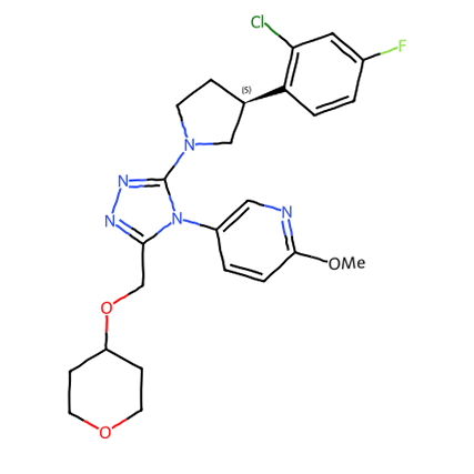 COc1ccc(-n2c(COC3CCOCC3)nnc2N2CC[C@@H](c3ccc(F)cc3Cl)C2)cn1